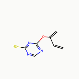 C=CC(=C)Oc1ncnc(S)n1